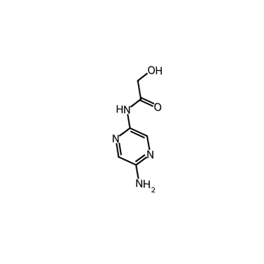 Nc1cnc(NC(=O)CO)cn1